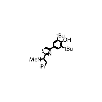 CNC(CC(C)C)c1nc(-c2cc(C(C)(C)C)c(O)c(C(C)(C)C)c2)cs1